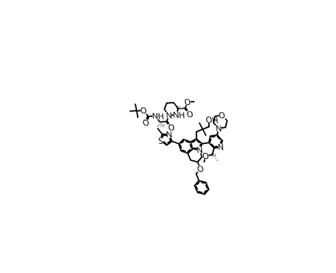 COC(=O)[C@@H]1CCCN(C(=O)[C@H](Cc2nc(-c3cc4c5c(c3)c(CC(C)(C)CO)c(-c3cc(N6CCOCC6)cnc3[C@H](C)OC)n5CC(OCc3ccccc3)C4)cs2)NC(=O)OC(C)(C)C)N1